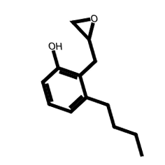 CCCCc1cccc(O)c1CC1CO1